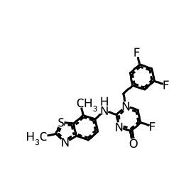 Cc1nc2ccc(Nc3nc(=O)c(F)cn3Cc3cc(F)cc(F)c3)c(C)c2s1